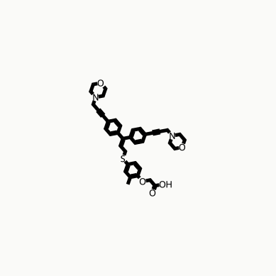 Cc1cc(SCC=C(c2ccc(C#CCN3CCOCC3)cc2)c2ccc(C#CCN3CCOCC3)cc2)ccc1OCC(=O)O